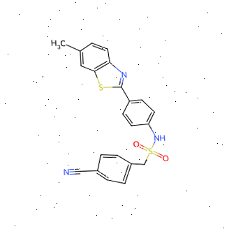 Cc1ccc2nc(-c3ccc(NS(=O)(=O)Cc4ccc(C#N)cc4)cc3)sc2c1